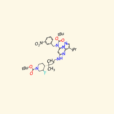 CC(C)c1cnn2c(N(Cc3cccc([N+](=O)[O-])c3)C(=O)OC(C)(C)C)cc(NCCC(C)(C)[C@H]3CCN(C(=O)OC(C)(C)C)C[C@@H]3F)nc12